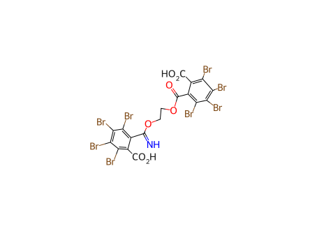 N=C(OCCOC(=O)c1c(Br)c(Br)c(Br)c(Br)c1C(=O)O)c1c(Br)c(Br)c(Br)c(Br)c1C(=O)O